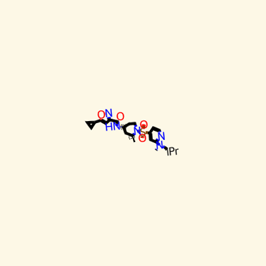 CC(C)CN(C)c1cc(S(=O)(=O)N2CC[C@@H](NC(=O)c3cc(C4CC4)on3)C[C@@H]2C)ccn1